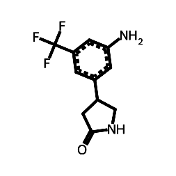 Nc1cc(C2CNC(=O)C2)cc(C(F)(F)F)c1